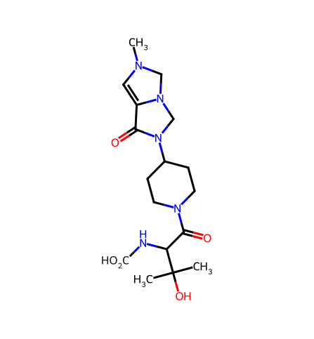 CN1C=C2C(=O)N(C3CCN(C(=O)C(NC(=O)O)C(C)(C)O)CC3)CN2C1